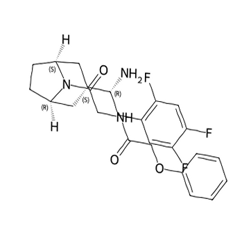 N[C@H](Cc1cc(F)c(F)cc1F)[C@@H]1C[C@H]2CC[C@@H](C1)N2C(=O)CNC(=O)COc1ccccc1